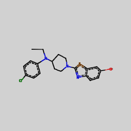 CCN(c1ccc(Cl)cc1)C1CCN(c2nc3ccc([O])cc3s2)CC1